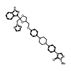 CCC(C)n1ncn(-c2ccc(N3CCN(c4ccc(OCC5COC(Cn6nccn6)(c6n[nH]c7ccccc67)O5)cc4)CC3)cc2)c1=O